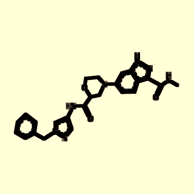 CNC(=O)c1n[nH]c2cc(N3CCOC(C(=O)Nc4cnn(Cc5ccccc5)c4)C3)ccc12